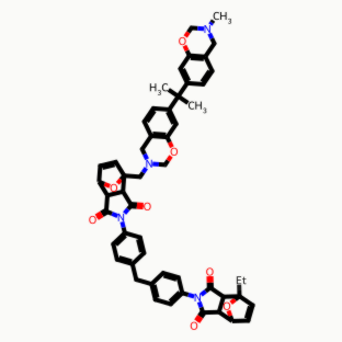 CCC12C=CC(O1)C1C(=O)N(c3ccc(Cc4ccc(N5C(=O)C6C7C=CC(CN8COc9cc(C(C)(C)c%10ccc%11c(c%10)OCN(C)C%11)ccc9C8)(O7)C6C5=O)cc4)cc3)C(=O)C12